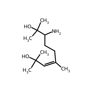 CC(=CC(C)(C)O)CCC(N)C(C)(C)O